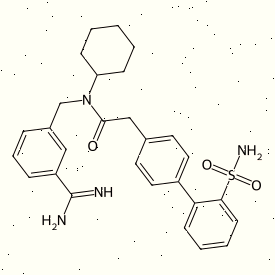 N=C(N)c1cccc(CN(C(=O)Cc2ccc(-c3ccccc3S(N)(=O)=O)cc2)C2CCCCC2)c1